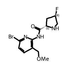 COCc1ccc(Br)nc1NC(=O)[C@@H]1C[C@@H](F)CN1